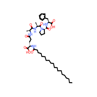 CCCCCCCCCCCCCCCCCCCC(=O)N[C@@H](CCC(=O)N[C@@H](C)C(=O)N[C@@H](C)C(=O)N1CCC[C@H]1C(=O)N[C@@H](Cc1ccccc1)C(=O)O)C(=O)O